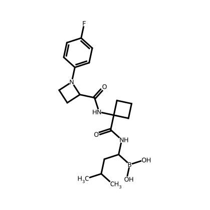 CC(C)CC(NC(=O)C1(NC(=O)C2CCN2c2ccc(F)cc2)CCC1)B(O)O